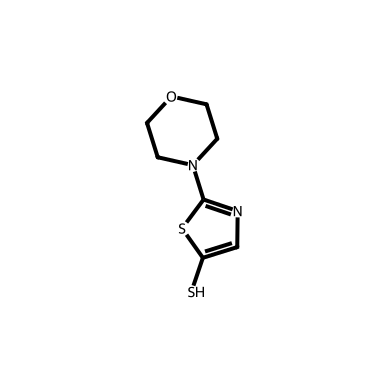 Sc1cnc(N2CCOCC2)s1